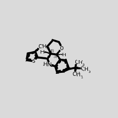 Cc1ccsc1C1Nc2ccc(C(C)(C)C)cc2[C@H]2OCCC[C@@H]12